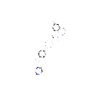 C[C@@H](C(=O)N1CCN(c2ccc(S(=O)(=O)Nc3nc(Cl)ncc3F)cc2)CC1)N1CCCc2cc(Cl)ccc21